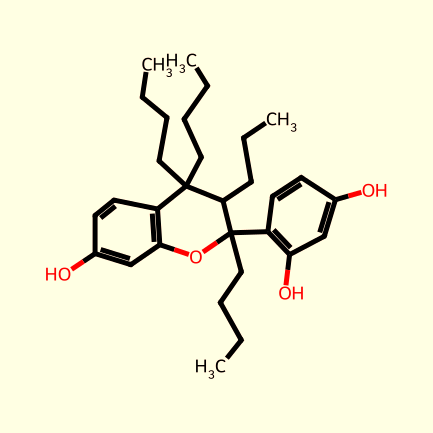 CCCCC1(CCCC)c2ccc(O)cc2OC(CCCC)(c2ccc(O)cc2O)C1CCC